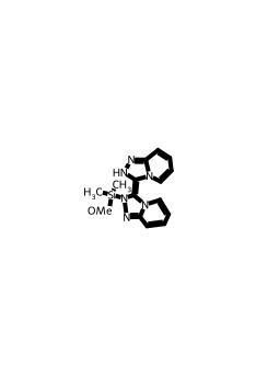 CO[Si](C)(C)N1N=C2C=CC=CN2/C1=C1/NN=C2C=CC=CN21